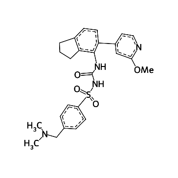 COc1cc(-c2ccc3c(c2NC(=O)NS(=O)(=O)c2ccc(CN(C)C)cc2)CCC3)ccn1